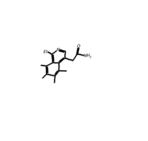 CCc1ncc(CC(N)=O)c2c(C)c(C)c(C)c(C)c12